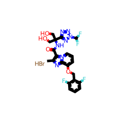 Br.Cc1nc2c(OCc3c(F)cccc3F)cccn2c1C(=O)NC(CO)(CO)c1nnn(C(F)F)n1